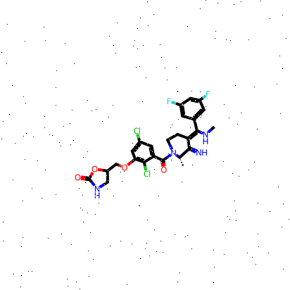 CN/C(=C1/CCN(C(=O)c2cc(Cl)cc(OCC3CNC(=O)O3)c2Cl)[C@@H](C)C1=N)c1cc(F)cc(F)c1